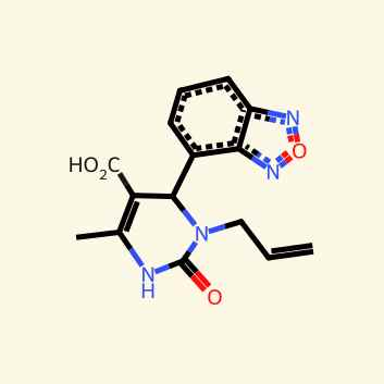 C=CCN1C(=O)NC(C)=C(C(=O)O)C1c1cccc2nonc12